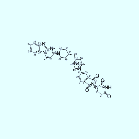 O=C1CCN(N2C(=O)c3ccc(N4CC5CCC4CN5CC4CCN(c5ccn6c(n5)nc5ccccc56)CC4)cc3C2=O)C(=O)N1